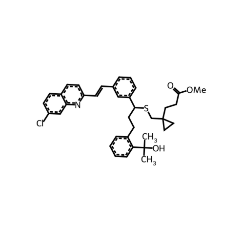 COC(=O)CCC1(CSC(CCc2ccccc2C(C)(C)O)c2cccc(/C=C/c3ccc4ccc(Cl)cc4n3)c2)CC1